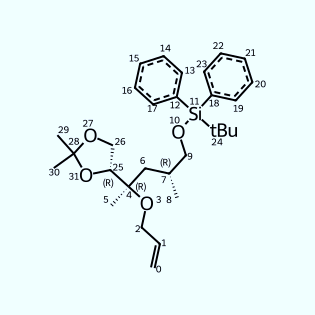 C=CCO[C@](C)(C[C@@H](C)CO[Si](c1ccccc1)(c1ccccc1)C(C)(C)C)[C@H]1COC(C)(C)O1